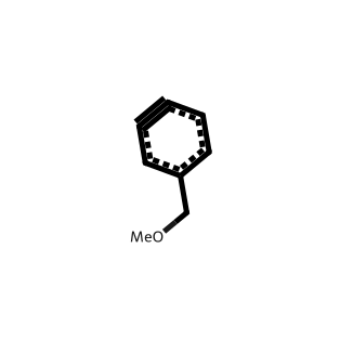 COCc1cc#ccc1